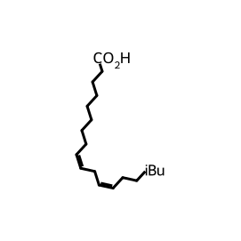 CCC(C)CC/C=C\C/C=C\CCCCCCCC(=O)O